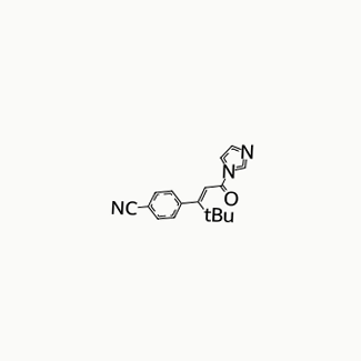 CC(C)(C)C(=CC(=O)n1ccnc1)c1ccc(C#N)cc1